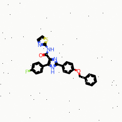 O=C(Nc1nccs1)c1nc(-c2ccc(OCc3ccccc3)cc2)[nH]c1-c1ccc(F)cc1